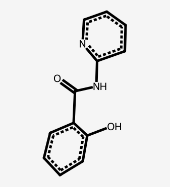 O=C(Nc1ccccn1)c1ccccc1O